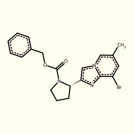 Cc1cc(Br)c2nc([C@@H]3CCCN3C(=O)OCc3ccccc3)cn2c1